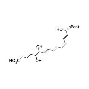 CCCCC[C@@H](O)/C=C/C=C\C=C\C=C\[C@@H](O)[C@@H](O)CCCC(=O)O